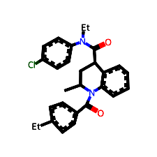 CCc1ccc(C(=O)N2c3ccccc3C(C(=O)N(CC)c3ccc(Cl)cc3)CC2C)cc1